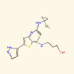 CC1(Nc2cc(NCCCO)c3sc(-c4ccn[nH]4)cc3n2)CC1